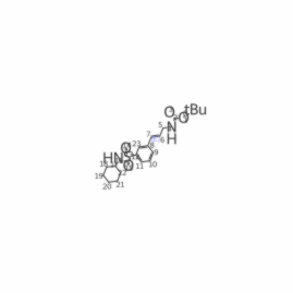 CC(C)(C)OC(=O)NC/C=C/c1cccc(S(=O)(=O)NC2CCCCC2)c1